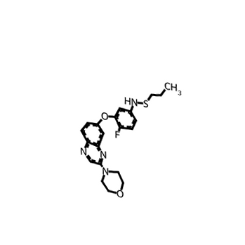 CCCSNc1ccc(F)c(Oc2ccc3ncc(N4CCOCC4)nc3c2)c1